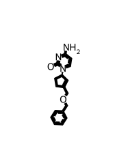 Nc1ccn([C@H]2C=C(COCc3ccccc3)CC2)c(=O)n1